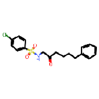 O=C(CCCCc1ccccc1)CNS(=O)(=O)c1ccc(Cl)cc1